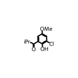 COc1cc(Cl)c(O)c(C(=O)C(C)C)c1